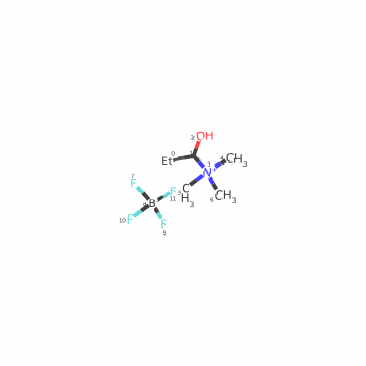 CCC(O)[N+](C)(C)C.F[B-](F)(F)F